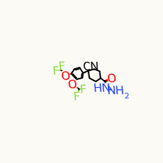 N#CC1(c2ccc(OC(F)F)c(OC(F)F)c2)CCC(C(=O)NN)CC1